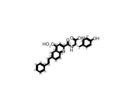 COC(=O)[C@H](Cc1ccc(O)cc1)NC(=O)c1cc(C(=O)O)c2cc(/C=C/c3ccccc3)ccc2n1